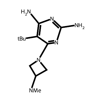 CNC1CN(c2nc(N)nc(N)c2C(C)(C)C)C1